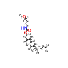 CCOC(C)(C)CCCNC(=O)OC1CCC2(C)C(=CCC3C2CCC2(C)C(C(C)CCCC(C)C)CCC32)C1